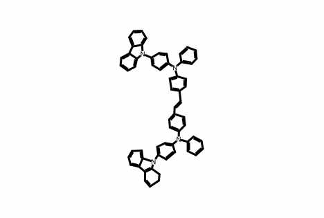 C1=Cc2c(n(-c3ccc(N(c4ccccc4)c4ccc(/C=C/c5ccc(N(c6ccccc6)c6ccc(-n7c8ccccc8c8ccccc87)cc6)cc5)cc4)cc3)c3ccccc23)CC1